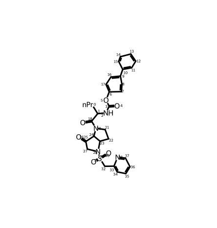 CCCC(NC(=O)Oc1ccc(-c2ccccc2)cc1)C(=O)N1CCC2C1C(=O)CN2S(=O)(=O)Cc1ccccn1